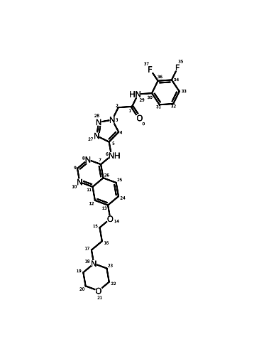 O=C(Cn1cc(Nc2ncnc3cc(OCCCN4CCOCC4)ccc23)nn1)Nc1cccc(F)c1F